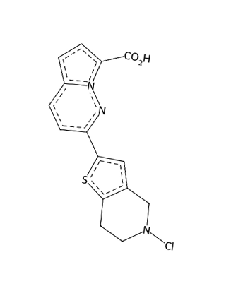 O=C(O)c1ccc2ccc(-c3cc4c(s3)CCN(Cl)C4)nn12